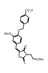 COCCN1C(=O)/C(=C\c2ccc(OCc3ccc(C(=O)O)cc3)c(OC)c2)SC1=S